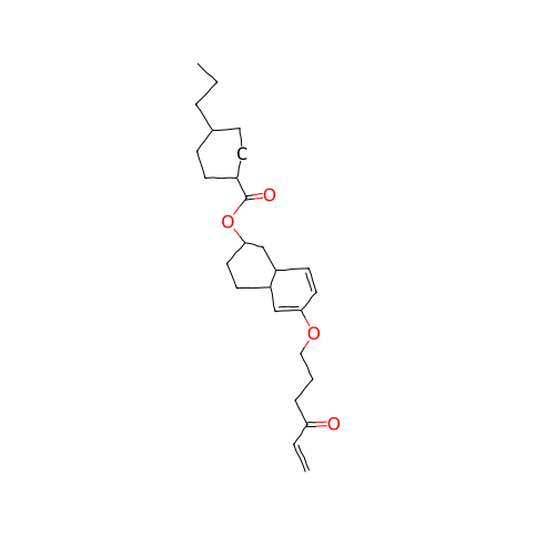 C=CC(=O)CCCOC1=CC2CCC(OC(=O)C3CCC(CCC)CC3)CC2C=C1